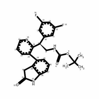 CC(C)(C)OC(=O)NC[C@H](c1cc(F)cc(F)c1)c1ncccc1-c1cccc2c1CC(=O)N2